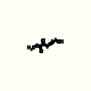 COC(=O)C(Cl)=CC#CCO